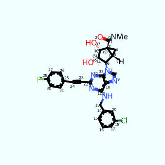 CNC(=O)[C@@]12C[C@@H]1[C@@H](n1cnc3c(NCc4cccc(Cl)c4)nc(C#Cc4ccc(F)cc4)nc31)[C@H](O)[C@@H]2O